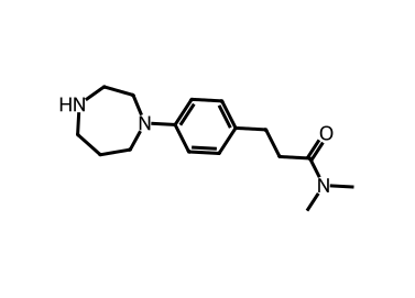 CN(C)C(=O)CCc1ccc(N2CCCNCC2)cc1